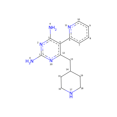 Nc1nc(N)c(-c2ccccn2)c(CC2CCNCC2)n1